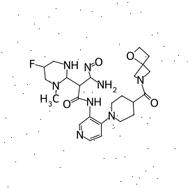 CN1CC(F)CNC1C(C(=O)Nc1cnccc1N1CCC(C(=O)N2CC3(CCO3)C2)CC1)C(N)N=O